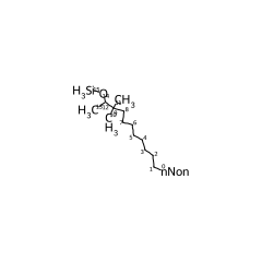 CCCCCCCCCCCCCCCCCC(C)(C)C(C)O[SiH3]